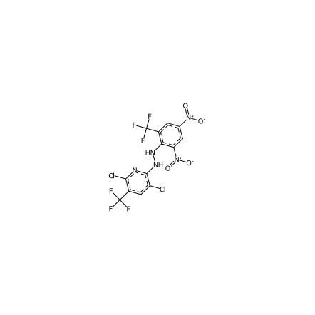 O=[N+]([O-])c1cc([N+](=O)[O-])c(NNc2nc(Cl)c(C(F)(F)F)cc2Cl)c(C(F)(F)F)c1